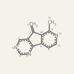 C=C1c2cncnc2-c2ccnc(C)c21